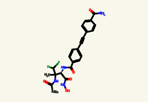 CNC(=O)NC(C)(C(F)F)[C@H](NC(=O)c1ccc(C#Cc2ccc(C(N)=O)cc2)cc1)C(=O)NO